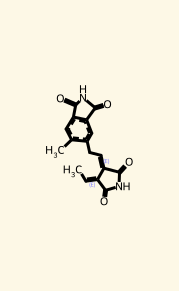 C/C=C1/C(=O)NC(=O)/C1=C/Cc1cc2c(cc1C)C(=O)NC2=O